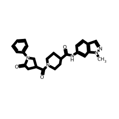 Cn1ncc2ccc(NC(=O)C3CCN(C(=O)C4CC(=O)N(c5ccccc5)C4)CC3)cc21